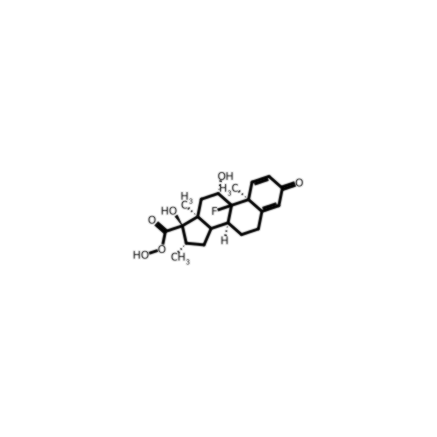 C[C@H]1CC2[C@@H]3CCC4=CC(=O)C=C[C@]4(C)C3(F)[C@@H](O)C[C@]2(C)[C@@]1(O)C(=O)OO